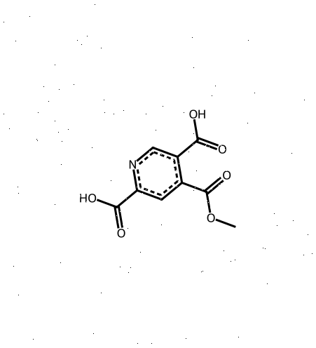 COC(=O)c1cc(C(=O)O)ncc1C(=O)O